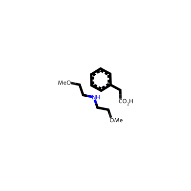 COCCNCCOC.O=C(O)Cc1ccccc1